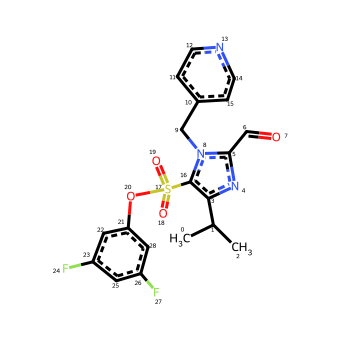 CC(C)c1nc(C=O)n(Cc2ccncc2)c1S(=O)(=O)Oc1cc(F)cc(F)c1